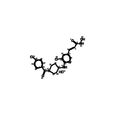 Cl.O=C(/C=C/c1cnc(NC2CCN(C(=O)c3ccc(Cl)cc3)CC2)c(Cl)c1)NO